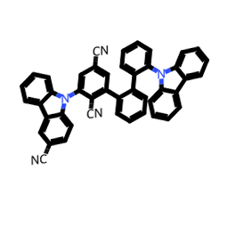 N#Cc1cc(-c2ccccc2-c2ccccc2-n2c3ccccc3c3ccccc32)c(C#N)c(-n2c3ccccc3c3cc(C#N)ccc32)c1